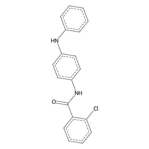 O=C(Nc1ccc(Nc2ccccc2)cc1)c1ccccc1Cl